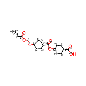 C=CC(=O)OCOC1CCC(C(=O)OC2CCC(C(=O)O)CC2)CC1